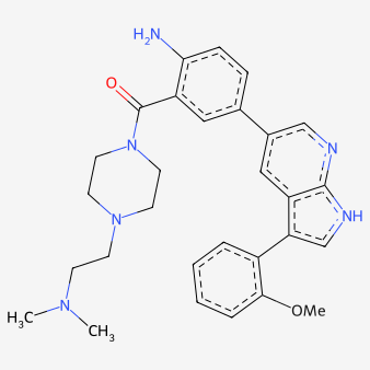 COc1ccccc1-c1c[nH]c2ncc(-c3ccc(N)c(C(=O)N4CCN(CCN(C)C)CC4)c3)cc12